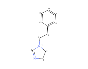 C1=NCCN1CCc1ccccc1